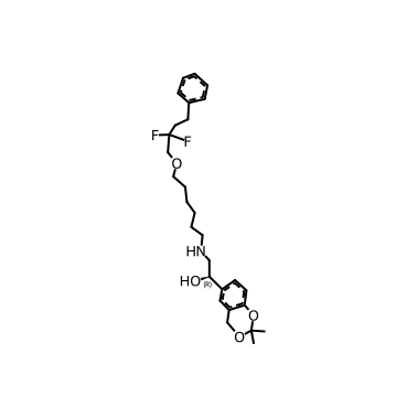 CC1(C)OCc2cc([C@@H](O)CNCCCCCCOCC(F)(F)CCc3ccccc3)ccc2O1